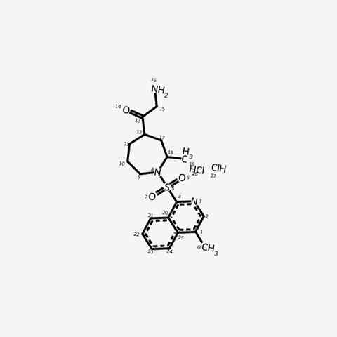 Cc1cnc(S(=O)(=O)N2CCCC(C(=O)CN)CC2C)c2ccccc12.Cl.Cl